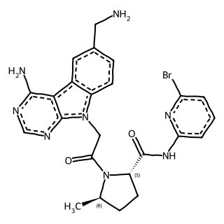 C[C@@H]1CC[C@@H](C(=O)Nc2cccc(Br)n2)N1C(=O)Cn1c2ccc(CN)cc2c2c(N)ncnc21